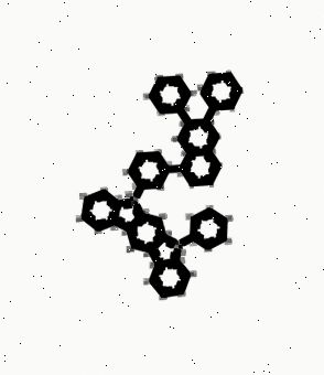 c1ccc(-c2cc3cccc(-c4cccc(-n5c6ccccc6c6cc7c8ccccc8n(-c8ccccc8)c7cc65)c4)c3cc2-c2ccccc2)cc1